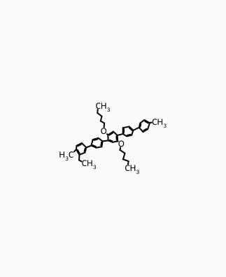 CCCCCOc1cc(-c2ccc(-c3ccc(C)c(CC)c3)cc2)c(OCCCCC)cc1-c1ccc(-c2ccc(C)cc2)cc1